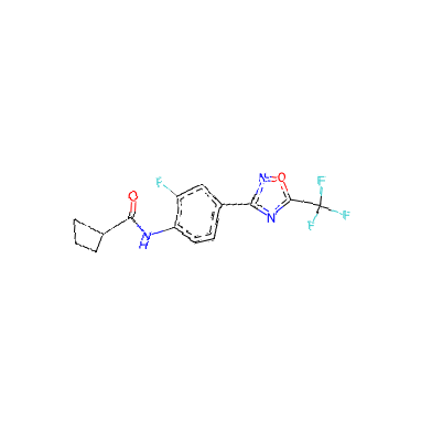 O=C(Nc1ccc(-c2noc(C(F)(F)F)n2)cc1F)C1CCC1